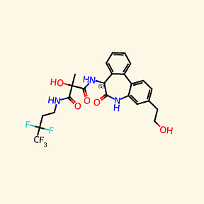 CC(O)(C(=O)NCCC(F)(F)C(F)(F)F)C(=O)N[C@@H]1C(=O)Nc2cc(CCO)ccc2-c2ccccc21